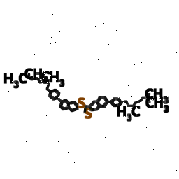 CC(C)CCCC(C)CCc1ccc(-c2ccc3ccc(Sc4csc5cc6cc(-c7ccc(CCC(C)CCCC(C)C)cc7)ccc6cc45)cc3c2)cc1